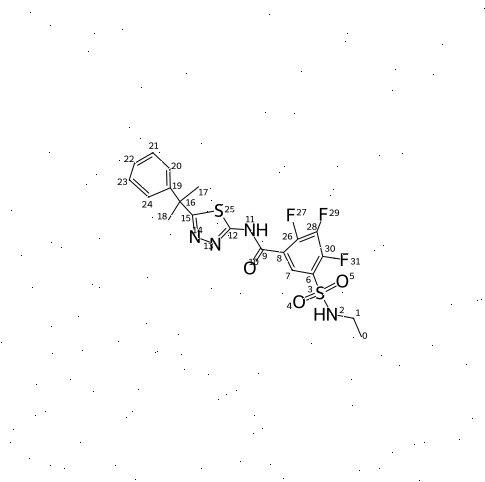 CCNS(=O)(=O)c1cc(C(=O)Nc2nnc(C(C)(C)c3ccccc3)s2)c(F)c(F)c1F